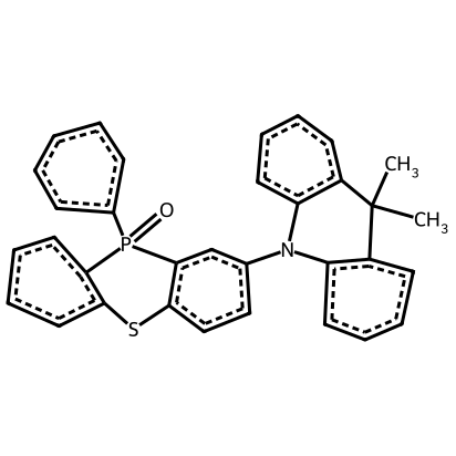 CC1(C)c2ccccc2N(c2ccc3c(c2)P(=O)(c2ccccc2)c2ccccc2S3)c2ccccc21